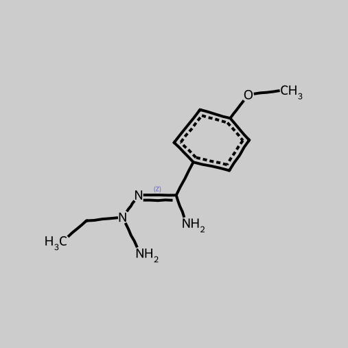 CCN(N)/N=C(\N)c1ccc(OC)cc1